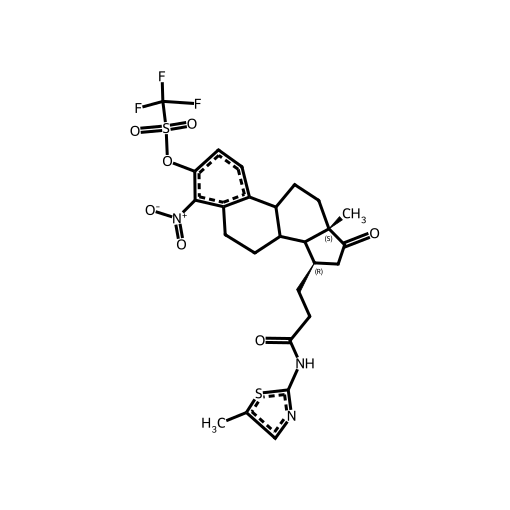 Cc1cnc(NC(=O)CC[C@@H]2CC(=O)[C@@]3(C)CCC4c5ccc(OS(=O)(=O)C(F)(F)F)c([N+](=O)[O-])c5CCC4C23)s1